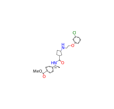 COC(=O)c1ccc([C@H](C)NC(=O)C2CCC(NCCOc3cccc(Cl)c3)C2)cc1